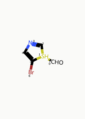 O=C[SH]1C=NC=C1Br